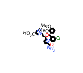 COc1cccc([C@H]2O[C@H](CCn3cc(C(=O)O)cn3)c3ccc(C(N)=O)n3-c3ccc(Cl)cc32)c1OC